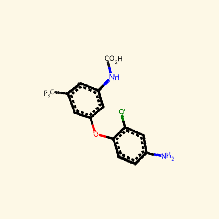 Nc1ccc(Oc2cc(NC(=O)O)cc(C(F)(F)F)c2)c(Cl)c1